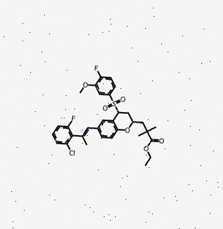 CCOC(=O)C(C)(C)CC1CC(S(=O)(=O)c2ccc(F)c(OC)c2)c2cc(/C=C(\C)c3c(F)cccc3Cl)ccc2O1